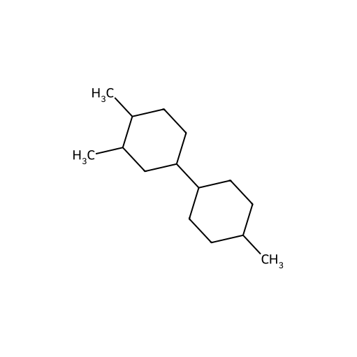 CC1CCC(C2CCC(C)C(C)C2)CC1